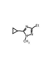 CCc1nc(C2CC2)n(C)n1